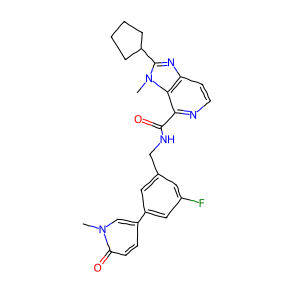 Cn1cc(-c2cc(F)cc(CNC(=O)c3nccc4nc(C5CCCC5)n(C)c34)c2)ccc1=O